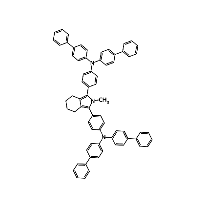 Cn1c(-c2ccc(N(c3ccc(-c4ccccc4)cc3)c3ccc(-c4ccccc4)cc3)cc2)c2c(c1-c1ccc(N(c3ccc(-c4ccccc4)cc3)c3ccc(-c4ccccc4)cc3)cc1)CCCC2